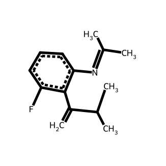 C=C(c1c(F)cccc1N=C(C)C)C(C)C